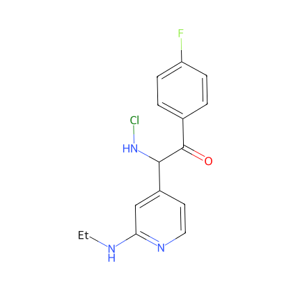 CCNc1cc(C(NCl)C(=O)c2ccc(F)cc2)ccn1